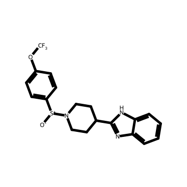 [O-][S+](c1ccc(OC(F)(F)F)cc1)N1CCC(c2nc3ccccc3[nH]2)CC1